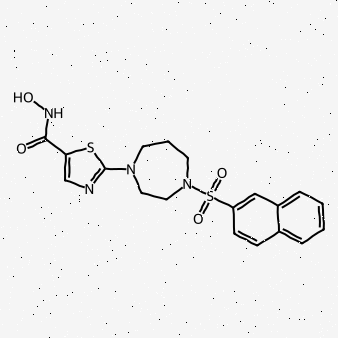 O=C(NO)c1cnc(N2CCCN(S(=O)(=O)c3ccc4ccccc4c3)CC2)s1